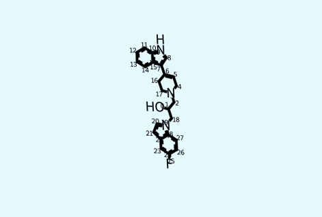 OC(CN1CC=C(c2c[nH]c3ccccc23)CC1)Cn1ccc2cc(F)ccc21